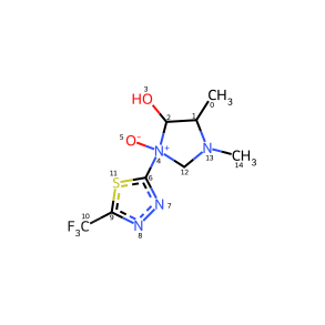 CC1C(O)[N+]([O-])(c2nnc(C(F)(F)F)s2)CN1C